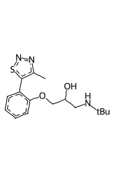 Cc1nnsc1-c1ccccc1OCC(O)CNC(C)(C)C